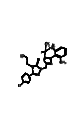 Cc1cccc(C)c1-n1nc(Cn2nc(-c3ccc(Cl)cc3)n(CCC(F)(F)F)c2=O)nc1C(C)(F)F